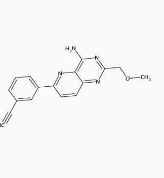 C#Cc1cccc(-c2ccc3nc(COC)nc(N)c3n2)c1